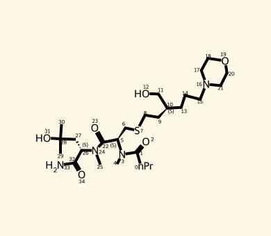 CCCC(=O)N(C)[C@H](CSCC[C@@H](CO)CCCN1CCOCC1)C(=O)N(C)[C@@H](CC(C)(C)O)C(N)=O